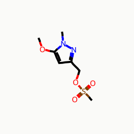 COc1cc(COS(C)(=O)=O)nn1C